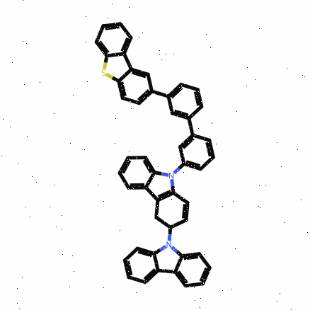 C1=CC(n2c3ccccc3c3ccccc32)Cc2c1n(-c1cccc(-c3cccc(-c4ccc5sc6ccccc6c5c4)c3)c1)c1ccccc21